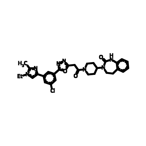 CCn1cc(-c2cc(Cl)cc(-c3nnc(CC(=O)N4CCC(N5CCc6ccccc6NC5=O)CC4)o3)c2)nc1C